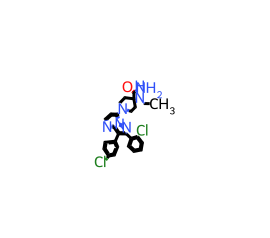 CCNC1(C(N)=O)CCN(c2ccnc3c(-c4ccc(Cl)cc4)c(-c4ccccc4Cl)nn23)CC1